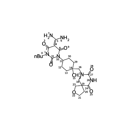 CCCCN1C(=O)C(=C(N)N)C(=O)N(C2CCC(C)(CN3CC4(CCOC4)C(=O)NC3=O)CC2)C1=O